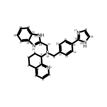 c1cnc2c(c1)CCCC2N(Cc1ccc(-c2ncc[nH]2)cc1)Cc1nc2ccccc2[nH]1